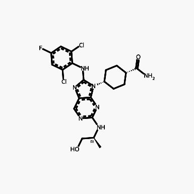 C[C@@H](CO)Nc1ncc2nc(Nc3c(Cl)cc(F)cc3Cl)n([C@H]3CC[C@@H](C(N)=O)CC3)c2n1